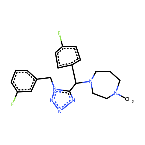 CN1CCCN(C(c2ccc(F)cc2)c2nnnn2Cc2cccc(F)c2)CC1